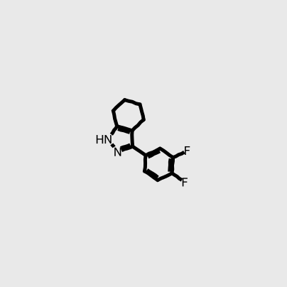 Fc1ccc(-c2n[nH]c3c2CCCC3)cc1F